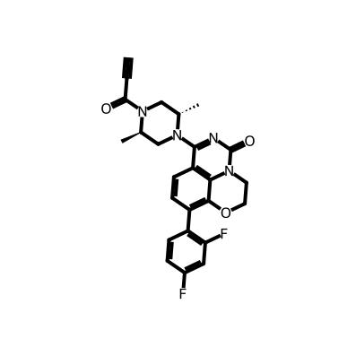 C#CC(=O)N1C[C@H](C)N(c2nc(=O)n3c4c(c(-c5ccc(F)cc5F)ccc24)OCC3)C[C@H]1C